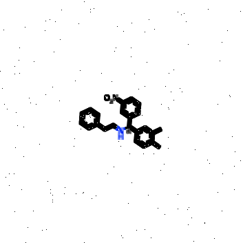 Cc1ccc([C@H](NCCc2ccccc2)c2cccc([N+](=O)[O-])c2)cc1C